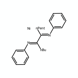 CCCCCC(=N\c1ccccc1)/C(CCCC)=N/c1ccccc1.[Ni]